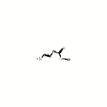 CC=COC(=O)OCl